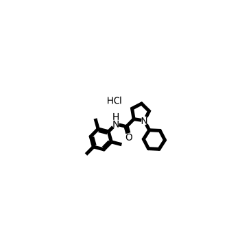 Cc1cc(C)c(NC(=O)C2CCCN2C2CCCCC2)c(C)c1.Cl